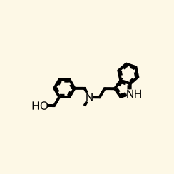 CN(CCc1c[nH]c2ccccc12)Cc1cccc(CO)c1